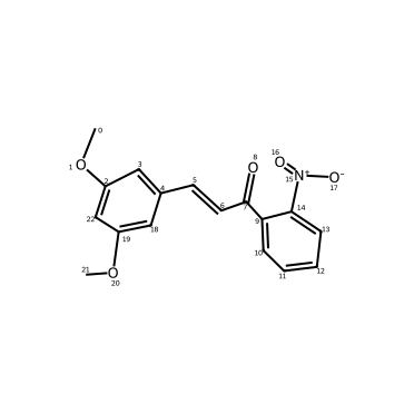 COc1cc(C=CC(=O)c2ccccc2[N+](=O)[O-])cc(OC)c1